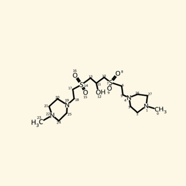 CN1CCN(CCS(=O)(=O)CC(O)CS(=O)(=O)CCN2CCN(C)CC2)CC1